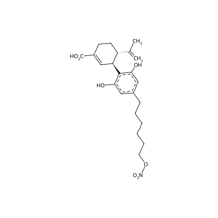 C=C(C)[C@H]1CCC(C(=O)O)=C[C@@H]1c1c(O)cc(CCCCCCO[N+](=O)[O-])cc1O